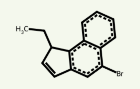 CCC1C=Cc2cc(Br)c3ccccc3c21